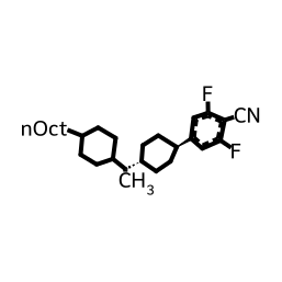 CCCCCCCCC1CCC(C(C)[C@H]2CC[C@H](c3cc(F)c(C#N)c(F)c3)CC2)CC1